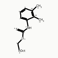 CCCCCCCCCOC(=S)Nc1cccc(C)c1C